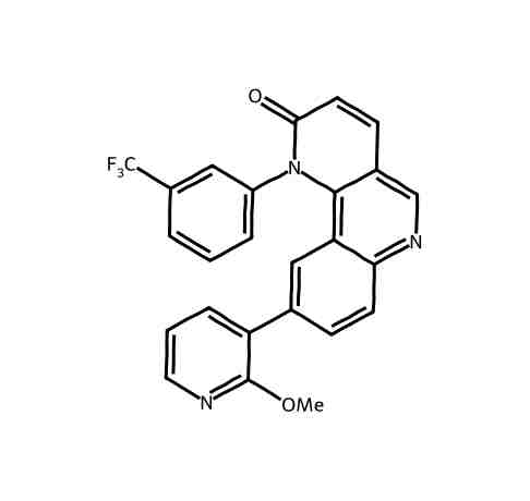 COc1ncccc1-c1ccc2ncc3ccc(=O)n(-c4cccc(C(F)(F)F)c4)c3c2c1